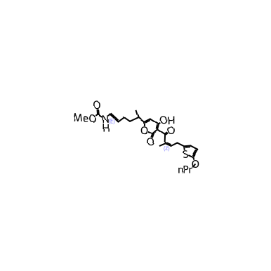 CCCOc1ccc(C/C=C(/C)C(=O)c2c(O)cc(C(C)CC/C=C/NC(=O)OC)oc2=O)s1